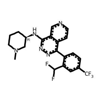 CN1CCC[C@@H](Nc2nnc(-c3ccc(C(F)(F)F)cc3C(F)F)c3ccncc23)C1